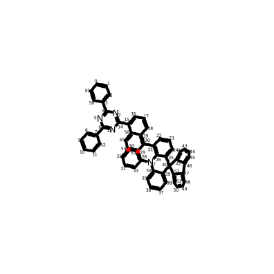 c1ccc(-c2nc(-c3ccccc3)nc(-c3cccc4c(-c5cccc6c5N(c5ccccc5)c5ccccc5C65c6ccccc6-c6ccccc65)cccc34)n2)cc1